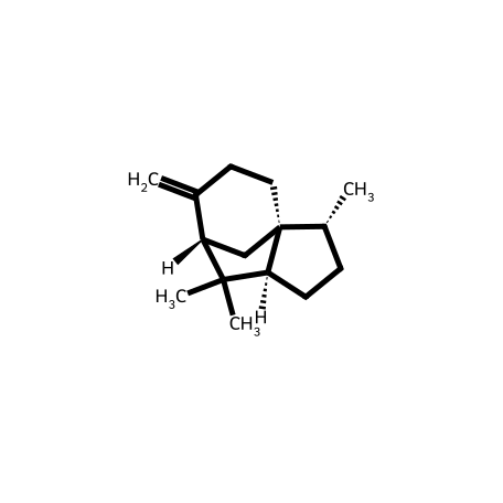 C=C1CC[C@@]23C[C@@H]1C(C)(C)[C@@H]2CC[C@H]3C